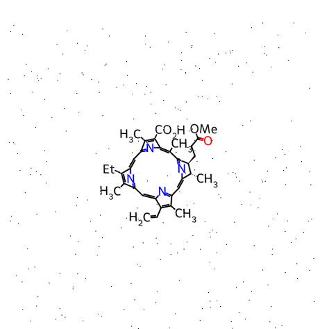 C=CC1=C(C)C2=NC1=CC1=NC(=CC3=NC(=C(C)C4=NC(=C2)[C@@H](C)[C@@H]4CCC(=O)OC)C(C(=O)O)=C3C)C(CC)=C1C